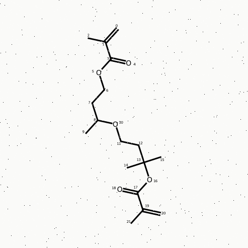 C=C(C)C(=O)OCCC(C)OCCC(C)(C)OC(=O)C(=C)C